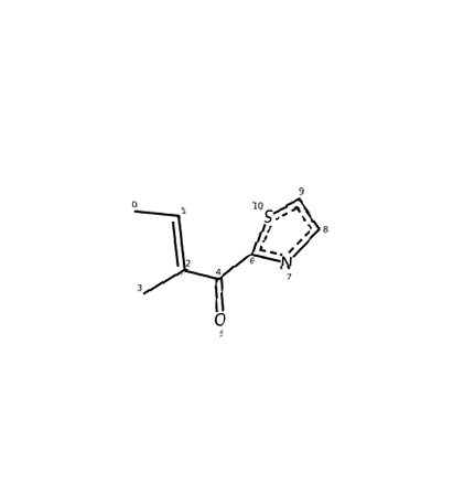 CC=C(C)C(=O)c1nccs1